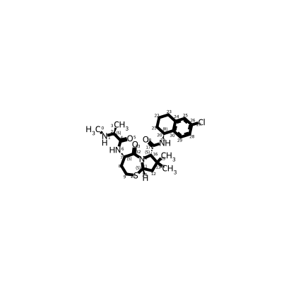 CN[C@@H](C)C(=O)N[C@H]1CCS[C@H]2CC(C)(C)[C@@H](C(=O)N[C@@H]3CCCc4cc(Cl)ccc43)N2C1=O